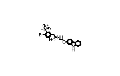 CS(=O)(=O)Nc1cc(CC(O)NCCOc2ccc3c(c2)[nH]c2ccccc23)ccc1Br